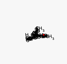 COC(=O)CC[S+]([O-])C1C(NC(=O)COc2ccc(OC)cc2)C(=O)N1C(C(=O)OCc1ccc([N+](=O)[O-])cc1)=C(C)C